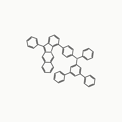 c1ccc(-c2cc(-c3ccccc3)cc(N(c3ccccc3)c3ccc(-c4cccc5c(-c6ccccc6)c6cc7ccccc7cn6c45)cc3)c2)cc1